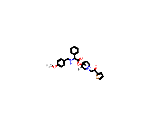 COc1ccc(CNC(C(=O)O[C@H]2C[N+]3(CC(=O)c4cccs4)CCC2CC3)c2ccccc2)cc1